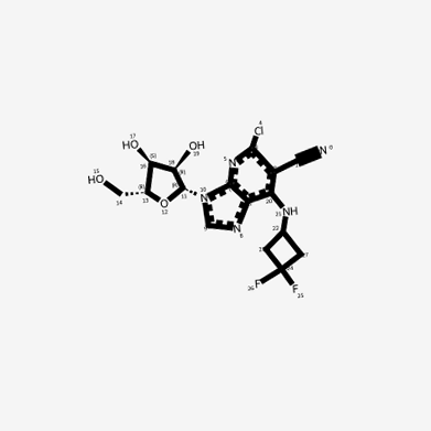 N#Cc1c(Cl)nc2c(ncn2[C@@H]2O[C@H](CO)[C@@H](O)[C@H]2O)c1NC1CC(F)(F)C1